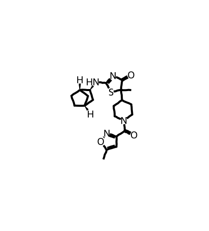 Cc1cc(C(=O)N2CCC(C3(C)SC(N[C@H]4C[C@@H]5CC[C@H]4C5)=NC3=O)CC2)no1